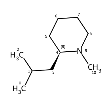 CC(C)C[C@H]1CCCCN1C